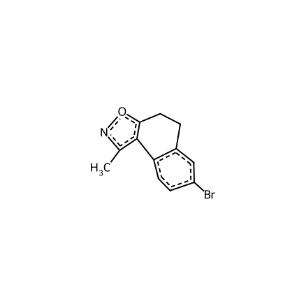 Cc1noc2c1-c1ccc(Br)cc1CC2